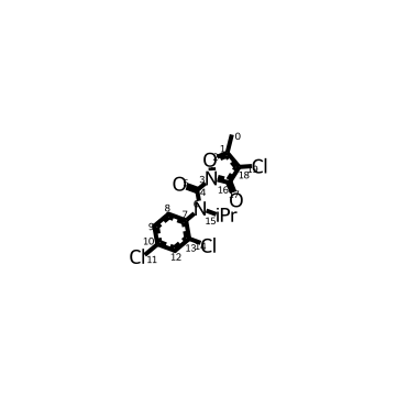 Cc1on(C(=O)N(c2ccc(Cl)cc2Cl)C(C)C)c(=O)c1Cl